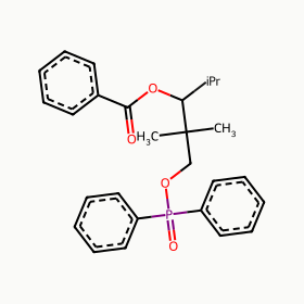 CC(C)C(OC(=O)c1ccccc1)C(C)(C)COP(=O)(c1ccccc1)c1ccccc1